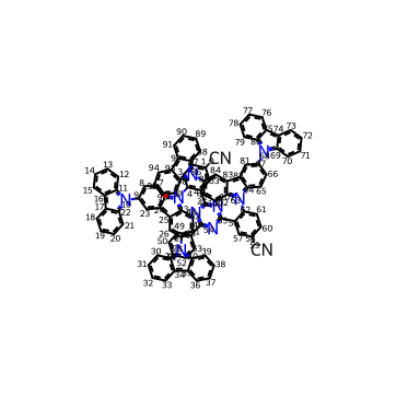 N#Cc1ccc(-n2c3ccc(-n4c5ccccc5c5ccccc54)cc3c3cc(-n4c5ccccc5c5ccccc54)ccc32)c(-c2nc(-c3ccccc3)nc(-c3cc(C#N)ccc3-n3c4ccc(-n5c6ccccc6c6ccccc65)cc4c4cc(-n5c6ccccc6c6ccccc65)ccc43)n2)c1